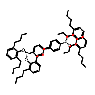 CCCCc1cccc(CCCC)c1OP(Oc1c(CCCC)cccc1CCCC)c1ccc(-c2ccc(P(Oc3c(CCCC)cccc3CCCC)Oc3c(CCCC)cccc3CCCC)cc2)cc1